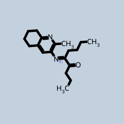 CCCC/C(=N\c1cc2c(nc1C)CCCC2)C(=O)CCC